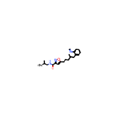 C=Nc1ccccc1/C=C(\C)CCCc1cc(C(=O)NCC(C)CCCC)no1